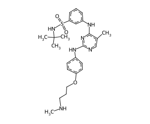 CNCCCOc1ccc(Nc2ncc(C)c(Nc3cccc(S(=O)(=O)NC(C)(C)C)c3)n2)cc1